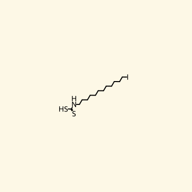 S=C(S)NCCCCCCCCCCCCI